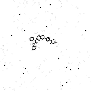 CN1CCC(c2ccc(-c3ccc4c(c3)ON(C(C(=O)Nc3ccccn3)c3ccccc3)C=N4)cc2)CC1